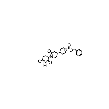 O=C1CCC(N2CCN(C3CCN(C(=O)OCc4ccccc4)CC3)CC2=O)C(=O)N1